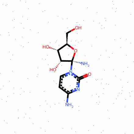 Nc1ccn([C@]2(N)O[C@H](CO)[C@@H](O)[C@H]2O)c(=O)n1